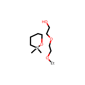 CCOCCOCCO.C[Si]1(C)CCCCO1